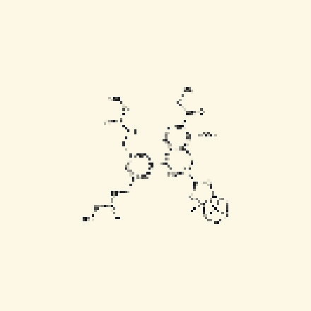 COc1c(C[C@H](NC(=O)c2cc(CNC(=O)OC(C)(C)C)cc(CNC(=O)OC(C)(C)C)c2)B2OC3CC4CC(C4(C)C)C3(C)O2)cccc1C(=O)OC(C)(C)C